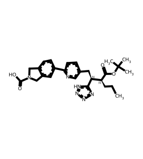 CCC[C@H](C(=O)OC(C)(C)C)[C@H](Cc1ccc(-c2ccc3c(c2)CN(C(=O)O)C3)nc1)c1nnn[nH]1